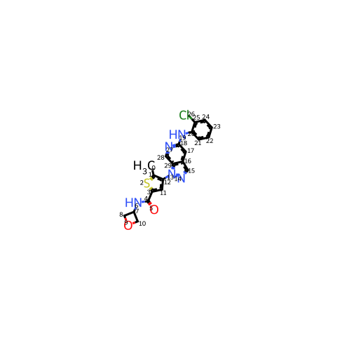 Cc1sc(C(=O)NC2COC2)cc1-n1ncc2cc(Nc3ccccc3Cl)ncc21